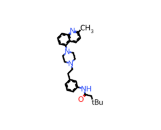 Cc1ccc2c(N3CCN(CCc4cccc(NC(=O)CC(C)(C)C)c4)CC3)cccc2n1